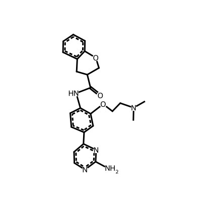 CN(C)CCOc1cc(-c2ccnc(N)n2)ccc1NC(=O)C1COc2ccccc2C1